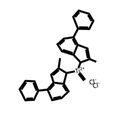 [CH2]=[Ti+2]([CH]1C(C)=Cc2c(-c3ccccc3)cccc21)[CH]1C(C)=Cc2c(-c3ccccc3)cccc21.[Cl-].[Cl-]